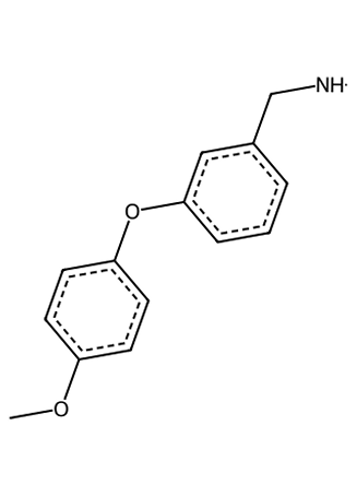 COc1ccc(Oc2cccc(C[NH])c2)cc1